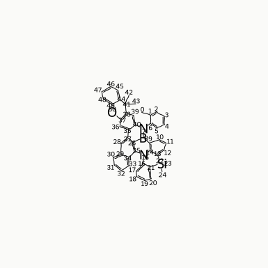 Cc1ccccc1N1B2c3cccc4c3N(c3ccccc3[Si]4(C)C)c3c2c(cc2ccccc32)-c2cc3c(cc21)C(C)(C)c1ccccc1O3